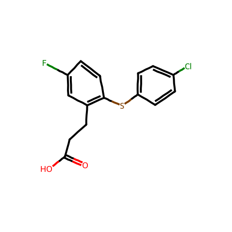 O=C(O)CCc1cc(F)ccc1Sc1ccc(Cl)cc1